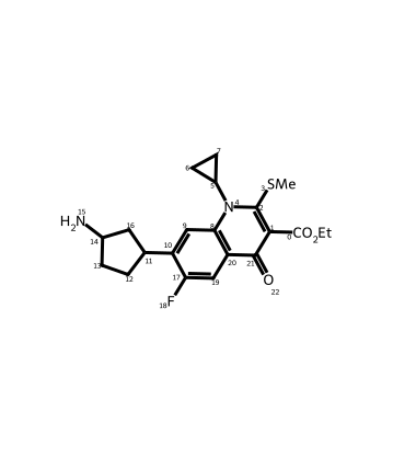 CCOC(=O)c1c(SC)n(C2CC2)c2cc(C3CCC(N)C3)c(F)cc2c1=O